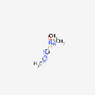 CCN1CCN(c2ccc(CSc3nc(C)cc(OC)n3)cn2)CC1